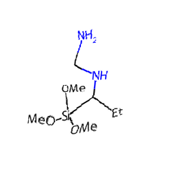 CCC(NCN)[Si](OC)(OC)OC